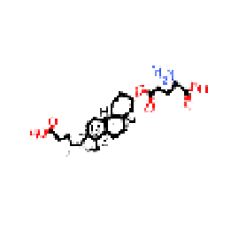 C[C@H](CCC(=O)O)[C@H]1CC[C@H]2[C@@H]3CC[C@@H]4C[C@@H](OC(=O)CC[C@@H](N)C(=O)O)CC[C@]4(C)[C@H]3CC[C@]12C